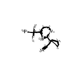 N#CC1(c2nccc(C(F)(F)F)n2)CC1